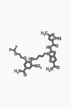 CCn1nc(C)cc1C(=O)Nc1nc2cc(C(N)=O)sc2n1C/C=C/CNc1c(OCCOC(F)F)cc(C(N)=O)cc1[N+](=O)[O-]